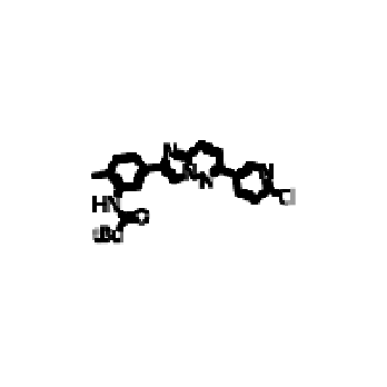 Cc1ccc(-c2cn3nc(-c4ccc(Cl)nc4)ccc3n2)cc1NC(=O)C(C)(C)C